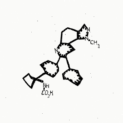 Cn1ncc2c1-c1cc(-c3ccccc3)c(-c3ccc(C4(NC(=O)O)CCC4)cc3)nc1CC2